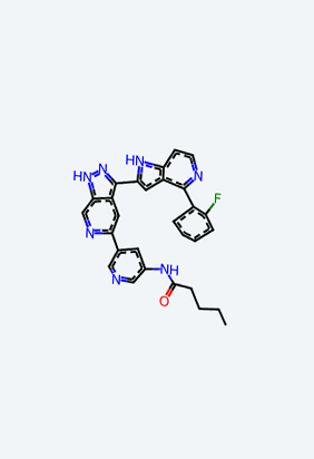 CCCCC(=O)Nc1cncc(-c2cc3c(-c4cc5c(-c6ccccc6F)nccc5[nH]4)n[nH]c3cn2)c1